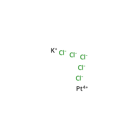 [Cl-].[Cl-].[Cl-].[Cl-].[Cl-].[K+].[Pt+4]